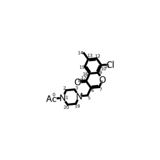 CC(=O)N1CCN(Cc2coc3c(Cl)cc(C)cc3c2=O)CC1